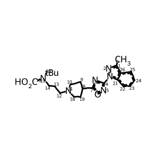 Cc1nn(-c2noc(C3CCN(CCCN(C(=O)O)C(C)(C)C)CC3)n2)c2ccccc12